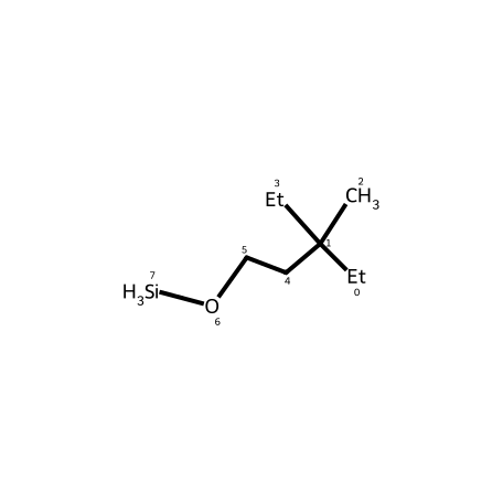 CCC(C)(CC)CCO[SiH3]